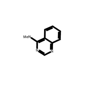 CNc1ncnc2[c]cccc12